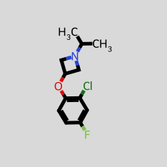 CC(C)N1CC(Oc2ccc(F)cc2Cl)C1